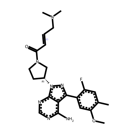 COc1cc(-c2nn([C@@H]3CCN(C(=O)/C=C/CN(C)C)C3)c3ncnc(N)c23)c(F)cc1C